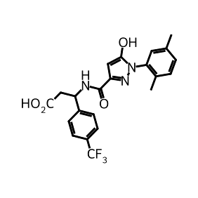 Cc1ccc(C)c(-n2nc(C(=O)NC(CC(=O)O)c3ccc(C(F)(F)F)cc3)cc2O)c1